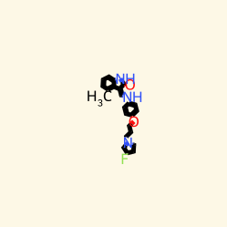 Cc1cccc2c1C(=CNc1ccc(OCCCN3CCC(F)C3)cc1)C(=O)N2